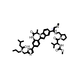 C=N/C=C(\NCC1CCCN1C(=O)C(NC(=O)OC)C(C)C)c1ccc2c(c1)cc1n2C(C)C(=O)Nc2cc(-c3cnc(CN(CCC)C(=O)CC(C)C)[nH]3)ccc2-1